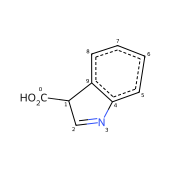 O=C(O)C1C=Nc2ccccc21